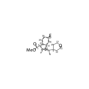 COC(=O)c1c(C)n(C(C)C2CCOCC2)c2cc(F)ccc12